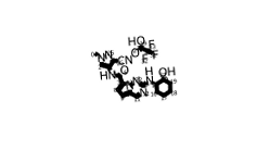 Cn1cc(NC(=O)c2ccc3cnc(N[C@@H]4CCCC[C@@H]4O)nn23)c(C#N)n1.O=C(O)C(F)(F)F